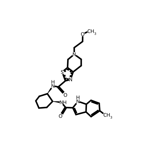 COCCN1CCc2nc(C(=O)N[C@@H]3CCCC[C@@H]3NC(=O)C3=CC4C=C(C)C=CC4N3)sc2C1